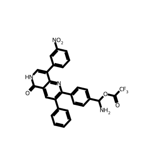 NC(OC(=O)C(F)(F)F)c1ccc(-c2nc3c(-c4cccc([N+](=O)[O-])c4)c[nH]c(=O)c3cc2-c2ccccc2)cc1